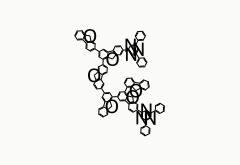 c1ccc(-c2nc(-c3ccccc3)nc(-c3ccc4c(c3)oc3c(-c5ccc6c(c5)oc5ccc(-c7cc(-c8cc(-c9cccc%10c9oc9ccccc9%10)c9oc%10cc(-c%11nc(-c%12ccccc%12)nc(-c%12ccccc%12)n%11)ccc%10c9c8)c8oc9ccccc9c8c7)cc56)cc(-c5ccc6c(c5)oc5ccccc56)cc34)n2)cc1